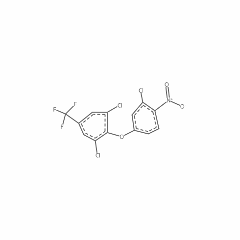 O=[N+]([O-])c1ccc(Oc2c(Cl)cc(C(F)(F)F)cc2Cl)cc1Cl